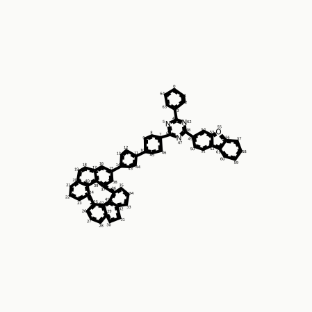 c1ccc(-c2nc(-c3ccc(-c4ccc(-c5cc6ccc7cccc8c9cccc%10ccc%11cccc(c(c5)c6c78)c%11c%109)cc4)cc3)nc(-c3ccc4c(c3)oc3ccccc34)n2)cc1